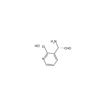 Cl.N[C@H](C=O)c1cccnc1Cl